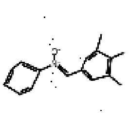 Cc1cc(C=[N+]([O-])c2ccccc2)cc(C)c1C